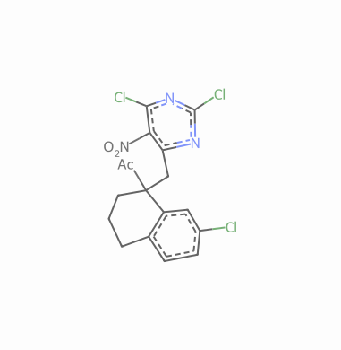 CC(=O)C1(Cc2nc(Cl)nc(Cl)c2[N+](=O)[O-])CCCc2ccc(Cl)cc21